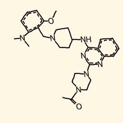 COc1cccc(N(C)C)c1CN1CCC(Nc2nc(N3CCN(C(C)=O)CC3)nc3ccccc23)CC1